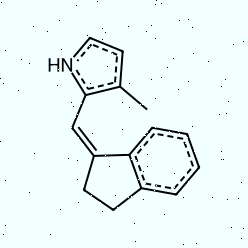 Cc1cc[nH]c1/C=C1/CCc2ccccc21